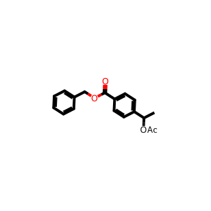 CC(=O)OC(C)c1ccc(C(=O)OCc2ccccc2)cc1